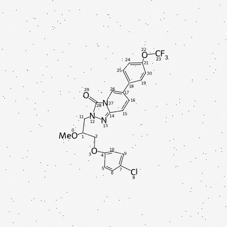 COC(COc1ccc(Cl)cc1)Cn1nc2ccc(-c3ccc(OC(F)(F)F)cc3)cn2c1=O